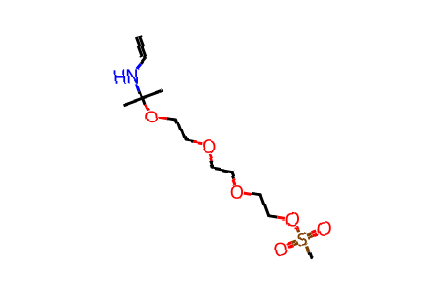 C=CNC(C)(C)OCCOCCOCCOS(C)(=O)=O